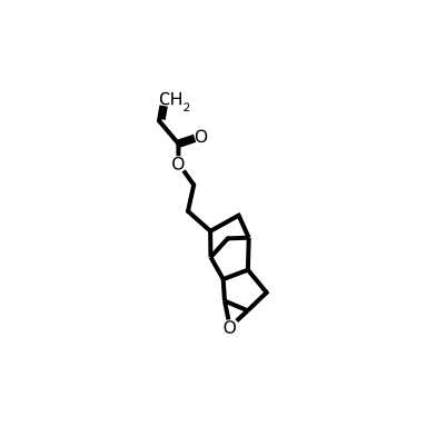 C=CC(=O)OCCC1CC2CC1C1C2CC2OC21